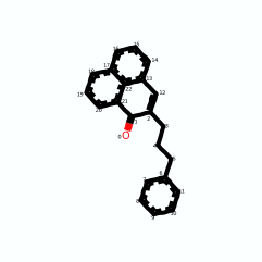 O=C1C(CCCc2ccccc2)=Cc2cccc3cccc1c23